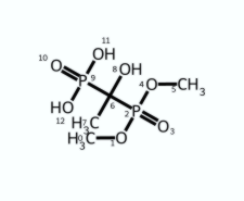 COP(=O)(OC)C(C)(O)P(=O)(O)O